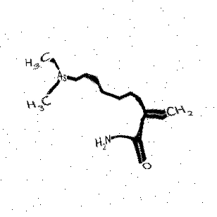 C=C(CCC[As](C)C)C(N)=O